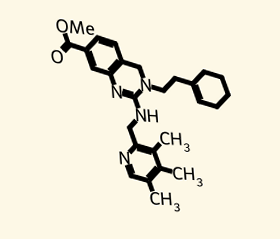 COC(=O)c1ccc2c(c1)N=C(NCc1ncc(C)c(C)c1C)N(CCC1=CCCCC1)C2